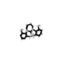 CC(C)c1cccc(C(C)C)c1N1C=CCCN(c2c(C(C)C)cccc2C(C)C)C1C(=O)O